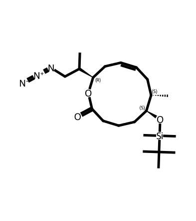 CC(CN=[N+]=[N-])[C@H]1CC=CC[C@H](C)[C@@H](O[Si](C)(C)C(C)(C)C)CCCC(=O)O1